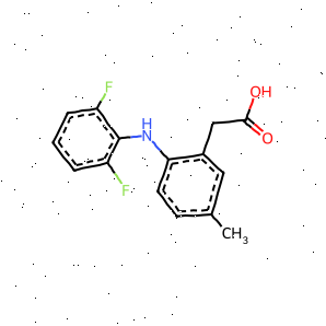 Cc1ccc(Nc2c(F)cccc2F)c(CC(=O)O)c1